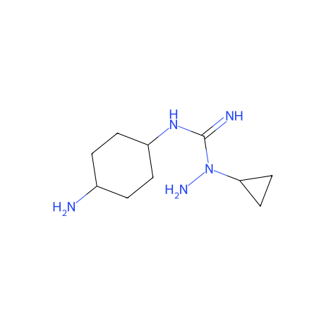 N=C(NC1CCC(N)CC1)N(N)C1CC1